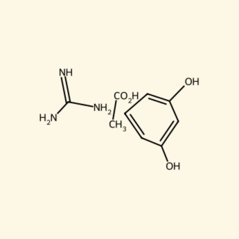 CC(=O)O.N=C(N)N.Oc1cccc(O)c1